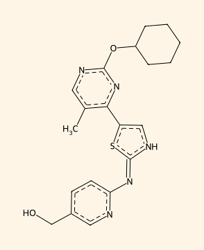 Cc1cnc(OC2CCCCC2)nc1-c1c[nH]/c(=N/c2ccc(CO)cn2)s1